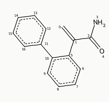 C=C(C(N)=O)c1ccccc1-c1ccccc1